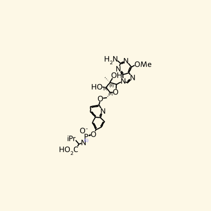 COc1nc(N)nc2c1ncn2C1O[C@H](COc2ccc3cc(O/[P+]([O-])=N/C(C(=O)O)C(C)C)ccc3n2)[C@@H](O)[C@@]1(C)O